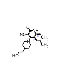 C=C/C=c1/c(N2CCC(CCO)CC2)c(C#N)c(=O)[nH]/c1=C/C